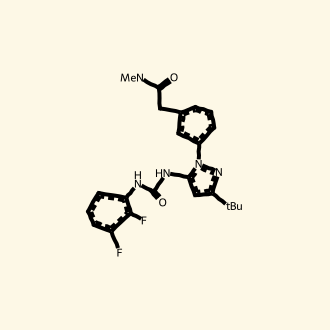 CNC(=O)Cc1cccc(-n2nc(C(C)(C)C)cc2NC(=O)Nc2cccc(F)c2F)c1